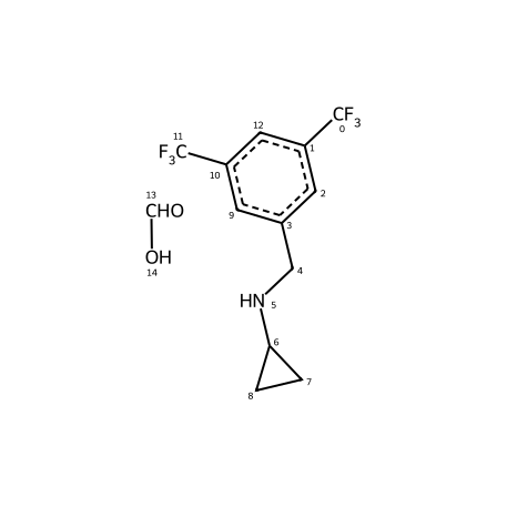 FC(F)(F)c1cc(CNC2CC2)cc(C(F)(F)F)c1.O=CO